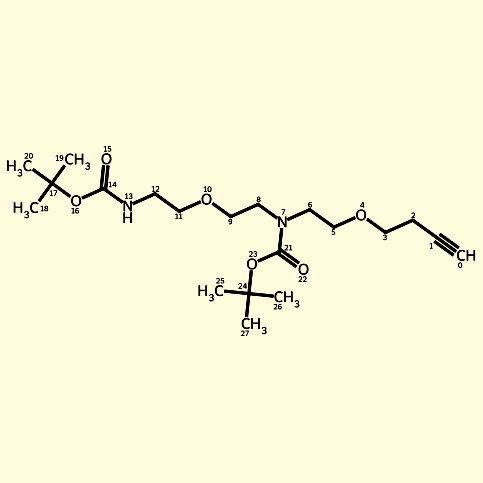 C#CCCOCCN(CCOCCNC(=O)OC(C)(C)C)C(=O)OC(C)(C)C